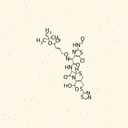 CC(C)(C)OC(=O)C=CCON=C(C(=O)NC1C(=O)N2C(C(=O)O)=C(CSc3nncs3)CS[C@@H]12)c1nc(NC=O)sc1Cl